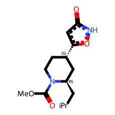 COC(=O)N1CC[C@H](c2cc(=O)[nH]o2)C[C@H]1CC(C)C